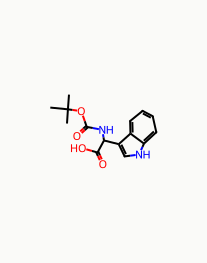 CC(C)(C)OC(=O)NC(C(=O)O)c1c[nH]c2ccccc12